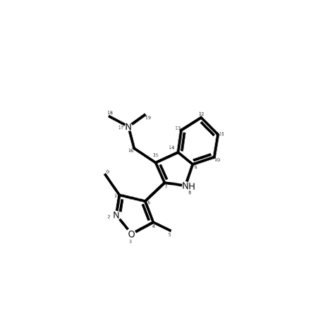 Cc1noc(C)c1-c1[nH]c2ccccc2c1CN(C)C